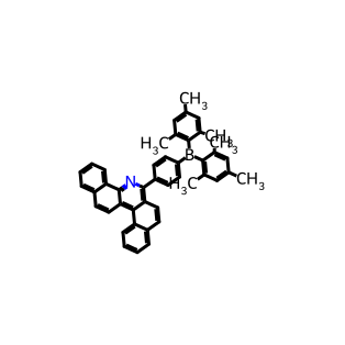 Cc1cc(C)c(B(c2ccc(-c3nc4c5ccccc5ccc4c4c3ccc3ccccc34)cc2)c2c(C)cc(C)cc2C)c(C)c1